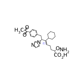 CS(=O)(=O)c1ccc(CC(/C(=C/CCC(ON)C(=O)O)C2CCCCC2)n2ccnc2)cc1